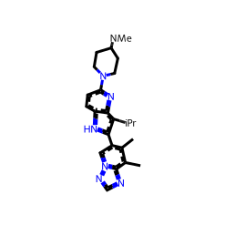 CNC1CCN(c2ccc3[nH]c(-c4cn5ncnc5c(C)c4C)c(C(C)C)c3n2)CC1